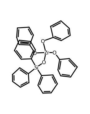 c1ccc([O][Zr]([O]c2ccccc2)([O]c2ccccc2)[O][Si](c2ccccc2)(c2ccccc2)c2ccccc2)cc1